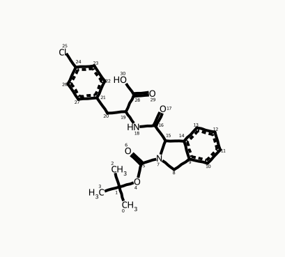 CC(C)(C)OC(=O)N1Cc2ccccc2C1C(=O)NC(Cc1ccc(Cl)cc1)C(=O)O